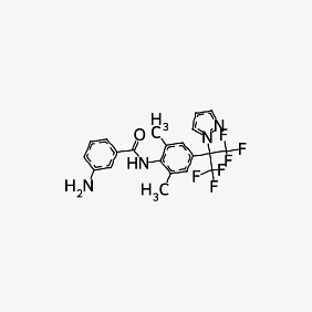 Cc1cc(C(n2cccn2)(C(F)(F)F)C(F)(F)F)cc(C)c1NC(=O)c1cccc(N)c1